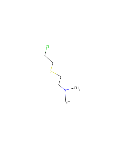 CCCN(C)CCSCCCl